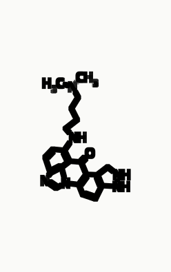 CN(C)CCCCNc1ccc2ncn3c4ccc5c(c4c(=O)c1c23)CNN5